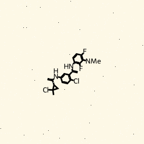 C=C(Nc1ccc(F)c(NC)c1F)c1cc(NC(=C)C2CC2(C)Cl)ccc1Cl